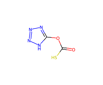 O=C(S)Oc1nnn[nH]1